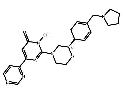 Cn1c(N2CCO[C@H](C3C=CC(CN4CCCC4)=CC3)C2)nc(-c2ccncn2)cc1=O